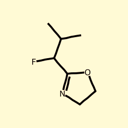 CC(C)C(F)C1=NCCO1